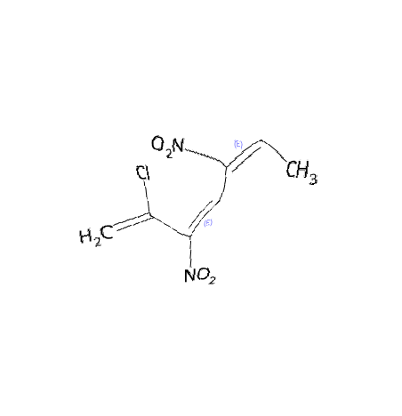 C=C(Cl)/C(=C\C(=C/C)[N+](=O)[O-])[N+](=O)[O-]